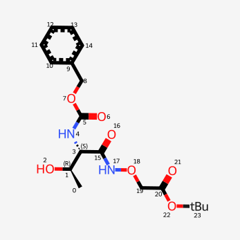 C[C@@H](O)[C@H](NC(=O)OCc1ccccc1)C(=O)NOCC(=O)OC(C)(C)C